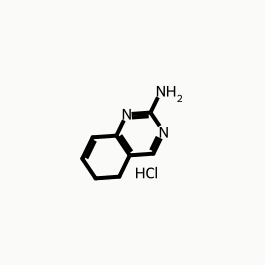 Cl.Nc1ncc2c(n1)C=CCC2